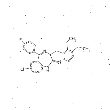 CCc1cccc(CC2N=C(c3ccc(F)cc3)c3cc(Cl)ccc3NC2=O)c1CC